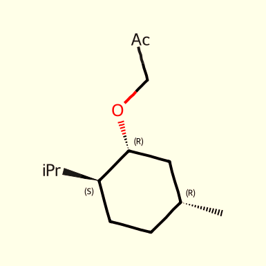 CC(=O)CO[C@@H]1C[C@H](C)CC[C@H]1C(C)C